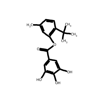 Cc1ccc(C(C)(C)C)c(OC(=O)c2cc(O)c(O)c(O)c2)c1